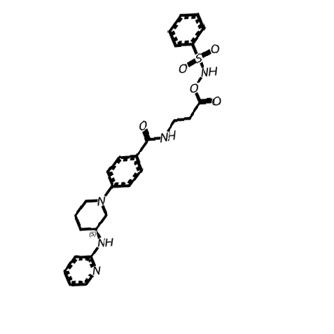 O=C(CCNC(=O)c1ccc(N2CCC[C@H](Nc3ccccn3)C2)cc1)ONS(=O)(=O)c1ccccc1